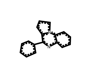 c1ccc(-c2nc3ccccc3n3cccc23)cc1